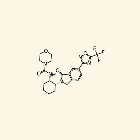 O=C(N[C@@H]1CCCC[C@H]1N1Cc2ccc(-c3noc(C(F)(F)F)n3)cc2C1=O)N1CCOCC1